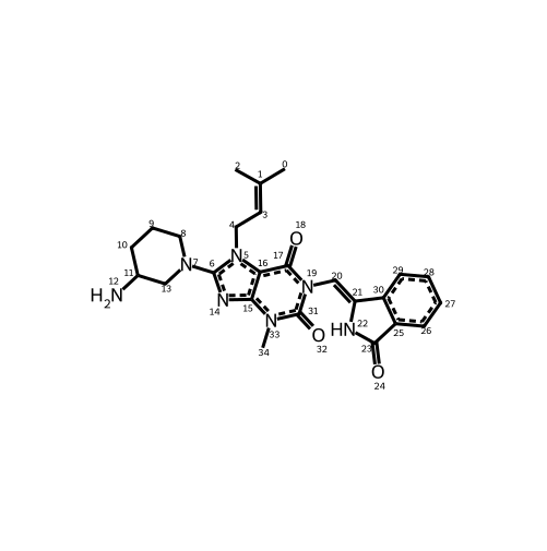 CC(C)=CCn1c(N2CCCC(N)C2)nc2c1c(=O)n(C=C1NC(=O)c3ccccc31)c(=O)n2C